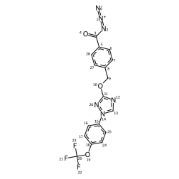 [N-]=[N+]=NC(=O)c1ccc(COc2ncn(-c3ccc(OC(F)(F)F)cc3)n2)cc1